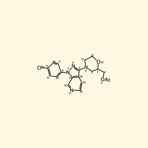 CC(=O)OCC1CN(c2nn(-c3ccc(Cl)cc3)c3cnccc23)CCO1